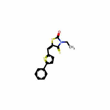 CCN1C(=O)S/C(=C/c2ccc(-c3ccccc3)s2)C1=S